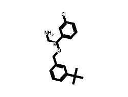 CC(C)(C)c1cccc(CO[C@@H](CN)c2cccc(Cl)c2)c1